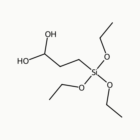 CCO[Si](CCC(O)O)(OCC)OCC